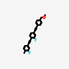 COCc1ccc(C#Cc2ccc(C#Cc3ccc(C)c(F)c3)c(F)c2)cc1